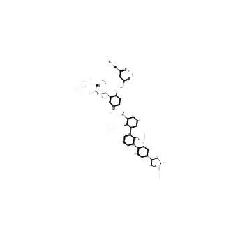 Cc1c(COc2cc(OCc3cncc(C#N)c3)c(CN[C@@H](CO)C(=O)O)cc2Cl)cccc1-c1cccc(-c2ccc(C3CCNC3)cc2)c1C